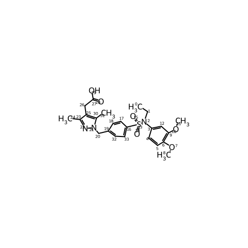 CCN(c1ccc(OC)c(OC)c1)S(=O)(=O)c1ccc(Cn2nc(C)c(CC(=O)O)c2C)cc1